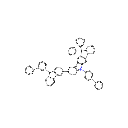 c1ccc(-c2ccc(-n3c4ccc(-c5ccc6c(c5)-c5ccccc5C6c5cccc(-c6ccccc6)c5)cc4c4cc5c(cc43)-c3ccccc3C5(c3ccccc3)c3ccccc3)cc2)cc1